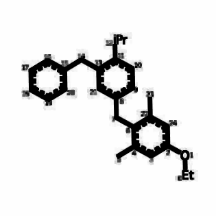 CCOc1cc(C)c(Cc2ccc(C(C)C)c(Cc3ccccc3)c2)c(C)c1